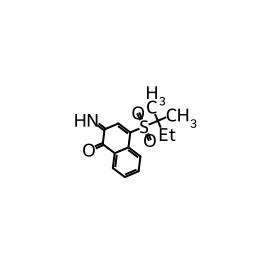 CCC(C)(C)S(=O)(=O)C1=CC(=N)C(=O)c2ccccc21